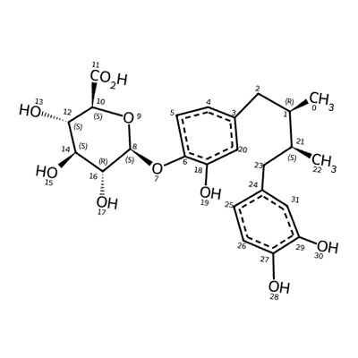 C[C@H](Cc1ccc(O[C@@H]2O[C@H](C(=O)O)[C@@H](O)[C@H](O)[C@H]2O)c(O)c1)[C@@H](C)Cc1ccc(O)c(O)c1